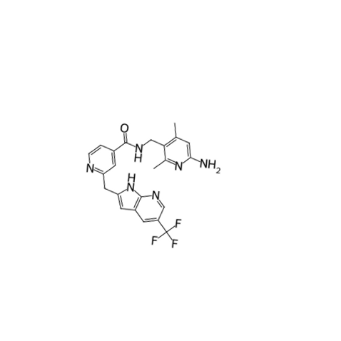 Cc1cc(N)nc(C)c1CNC(=O)c1ccnc(Cc2cc3cc(C(F)(F)F)cnc3[nH]2)c1